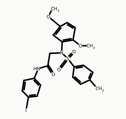 COc1ccc(OC)c(N(CC(=O)Nc2ccc(I)cc2)S(=O)(=O)c2ccc(C)cc2)c1